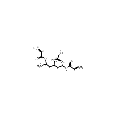 C=CC(=O)OCCC(CC(C)OC(=O)C=C)NC(=O)O